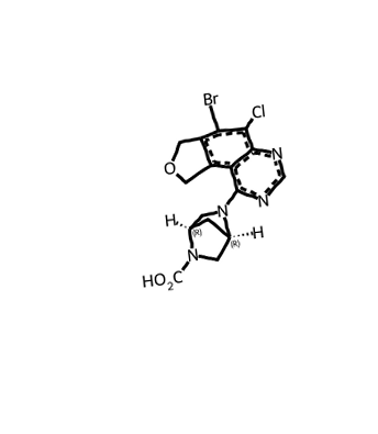 O=C(O)N1C[C@H]2C[C@@H]1CN2c1ncnc2c(Cl)c(Br)c3c(c12)COC3